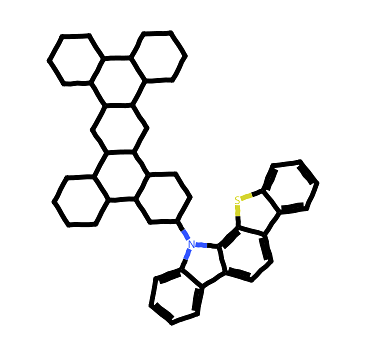 c1ccc2c(c1)sc1c2ccc2c3ccccc3n(C3CCC4C5CC6C7CCCCC7C7CCCCC7C6CC5C5CCCCC5C4C3)c21